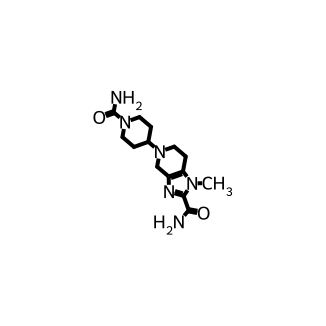 Cn1c(C(N)=O)nc2c1CCN(C1CCN(C(N)=O)CC1)C2